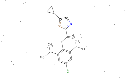 C=C(Cc1c(C(C)C)cc(Cl)cc1C(C)C)c1ncc(C2CC2)s1